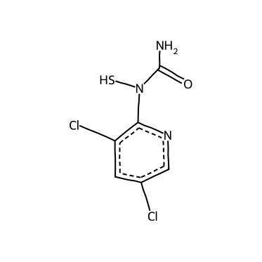 NC(=O)N(S)c1ncc(Cl)cc1Cl